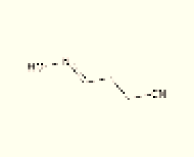 N#CCCC=NO